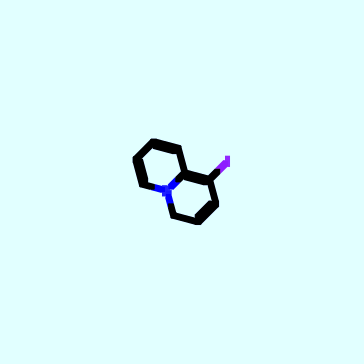 IC1=C2C=CC=CN2CC=C1